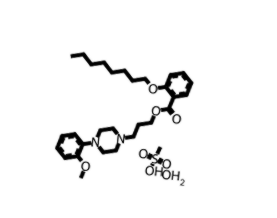 CCCCCCCCOc1ccccc1C(=O)OCCCN1CCN(c2ccccc2OC)CC1.CS(=O)(=O)O.O